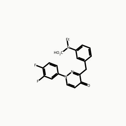 CCN(C(=O)O)c1cccc(Cc2nn(-c3ccc(F)c(F)c3)ccc2=O)c1